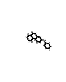 [c]1c(Oc2ccccc2)ccc2c1ccc1ccccc12